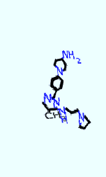 Cc1cnc(-c2ccc(N3CCC(N)CC3)cc2)nc1NCCCN1CCCC1